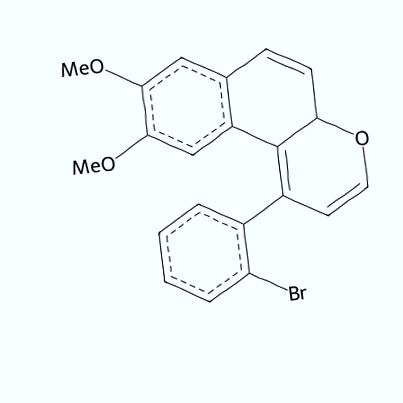 COc1cc2c(cc1OC)C1=C(c3ccccc3Br)C=COC1C=C2